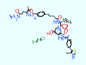 Cc1ncsc1-c1ccc([C@H](C)NC(=O)[C@@H]2C[C@H](O)CN2C(=O)[C@@H](NC(=O)CCCCc2ccc(CO[C@H](C)[C@@H](N)CCC(N)=O)cc2)C(C)(C)C)cc1.Cl